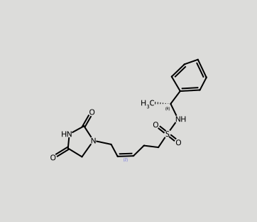 C[C@@H](NS(=O)(=O)CC/C=C\CN1CC(=O)NC1=O)c1ccccc1